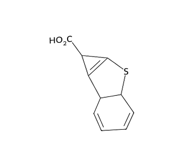 O=C(O)C1C2=C1C1C=CC=CC1S2